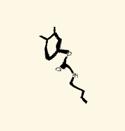 CCCCNC(=O)OC1CCC(C)C(C)C1